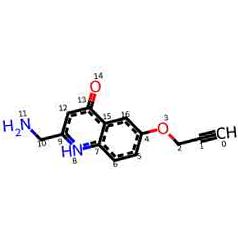 C#CCOc1ccc2[nH]c(CN)cc(=O)c2c1